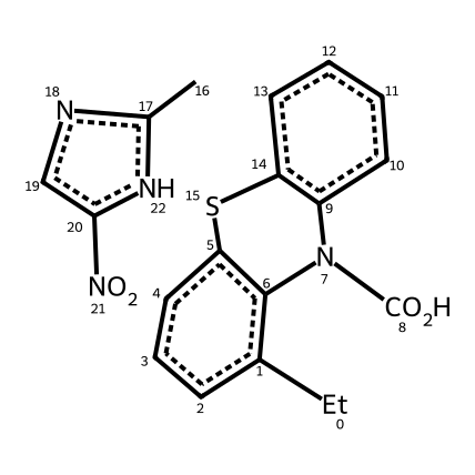 CCc1cccc2c1N(C(=O)O)c1ccccc1S2.Cc1ncc([N+](=O)[O-])[nH]1